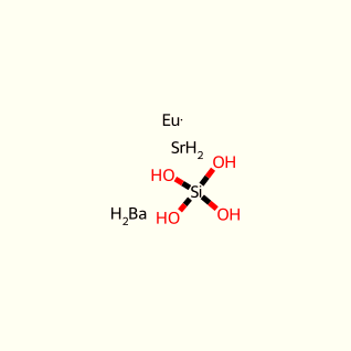 O[Si](O)(O)O.[BaH2].[Eu].[SrH2]